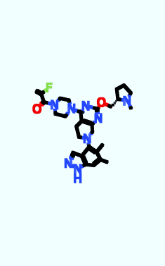 C=C(F)C(=O)N1CCN(c2nc(OC[C@@H]3CCCN3C)nc3c2CCN(c2c(C)c(C)cc4[nH]ncc24)C3)CC1